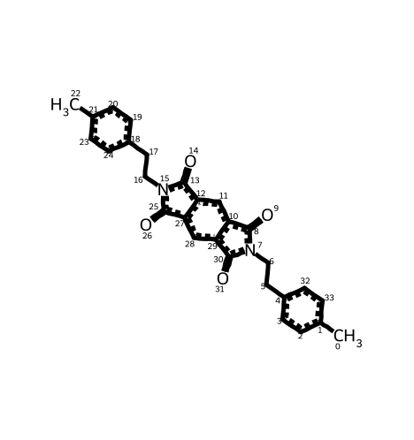 Cc1ccc(CCn2c(=O)c3cc4c(=O)n(CCc5ccc(C)cc5)c(=O)c4cc3c2=O)cc1